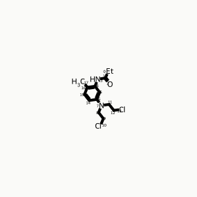 CCC(=O)Nc1cc(N(CCCl)CCCl)ccc1C